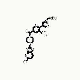 CC(C)(C)Cn1cc(-c2ncc(C(=O)N3CCN(c4nc5nc(Cl)ccc5o4)CC3)cc2C(F)(F)F)cn1